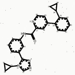 O=C(Nc1cccc(-c2nncn2C2CC2)c1)c1cc(-c2ccccc2C2CC2)ccn1